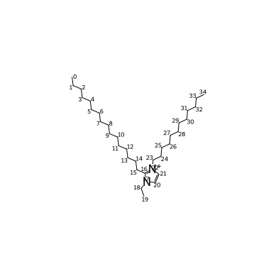 CCCCCCCCCCCCCCCCc1n(CC)cc[n+]1CCCCCCCCCCCC